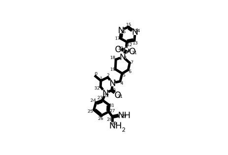 CC1CN(CC2CCN(S(=O)(=O)c3cncnc3)CC2)C(=O)N(c2cccc(C(=N)N)c2)C1